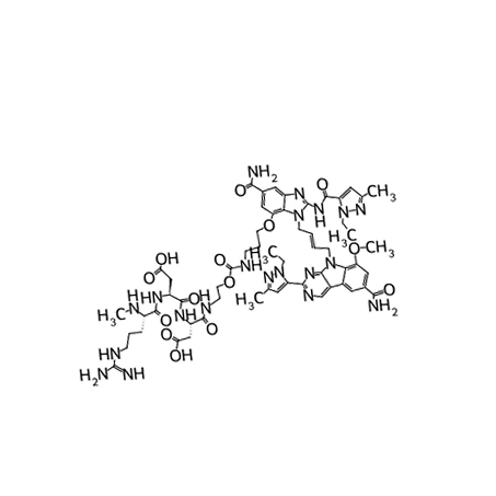 CCn1nc(C)cc1C(=O)Nc1nc2cc(C(N)=O)cc(OCCCNC(=O)OCCNC(=O)[C@H](CC(=O)O)NC(=O)[C@H](CC(=O)O)NC(=O)[C@H](CCCNC(=N)N)NC)c2n1C/C=C/Cn1c2nc(-c3cc(C)nn3CC)ncc2c2cc(C(N)=O)cc(OC)c21